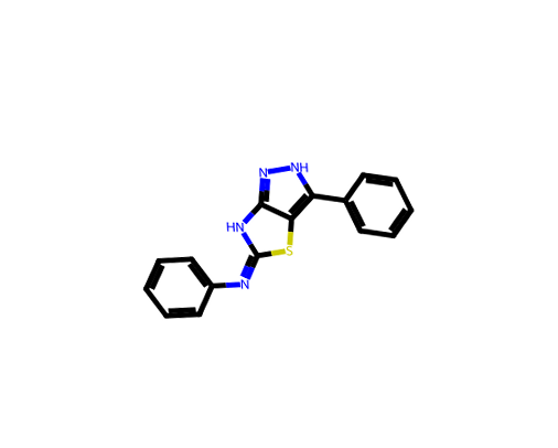 c1ccc(N=c2[nH]c3n[nH]c(-c4ccccc4)c3s2)cc1